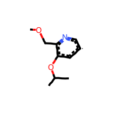 COCc1nc[c]cc1OC(C)C